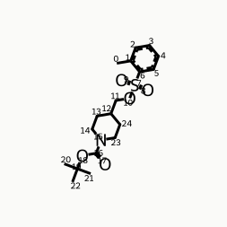 Cc1ccccc1S(=O)(=O)OCC1CCN(C(=O)OC(C)(C)C)CC1